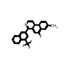 CC1=CC2=C(F)C=C3C(c4cc(C(F)(F)F)c5ccccc5c4)=NC=CC3C2C=C1